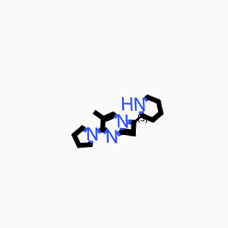 CC1=CN2C(=CC2[C@@H]2CCCCN2)N=C1N1CCCC1